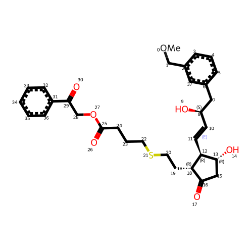 COCc1cccc(C[C@H](O)/C=C/[C@H]2[C@H](O)CC(=O)[C@@H]2CCSCCCC(=O)OCC(=O)c2ccccc2)c1